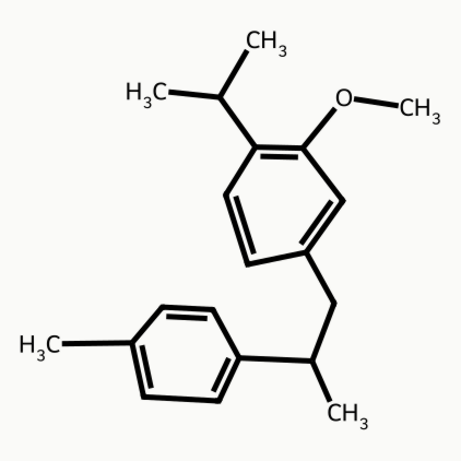 COc1cc(CC(C)c2ccc(C)cc2)ccc1C(C)C